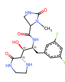 CN1C(=O)NCC1C(=O)N[C@@H](Cc1cc(F)cc(F)c1)[C@H](O)[C@@H]1NCCNC1=O